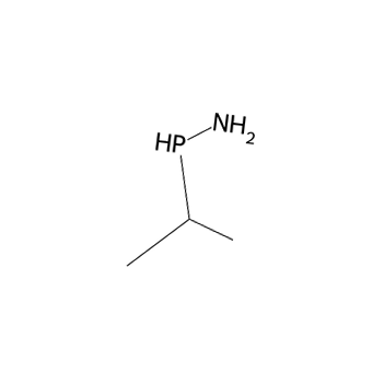 CC(C)PN